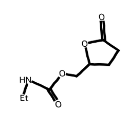 CCNC(=O)OCC1CCC(=O)O1